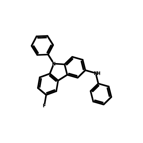 Fc1ccc2c(c1)c1cc(Nc3ccccc3)ccc1n2-c1ccccc1